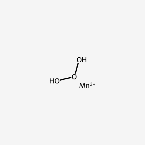 OOO.[Mn+3]